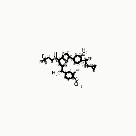 C=C(c1ccc(OC)c(F)c1)c1cc(NCCC(F)(F)F)c2ncc(-c3ccc(C(=O)NC4CC4)c(C)c3)n2n1